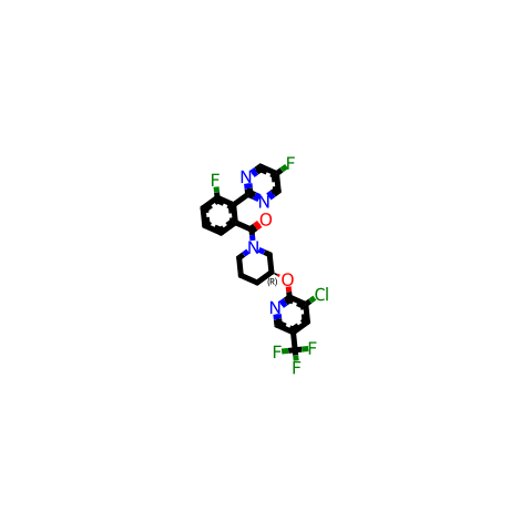 O=C(c1cccc(F)c1-c1ncc(F)cn1)N1CCC[C@@H](Oc2ncc(C(F)(F)F)cc2Cl)C1